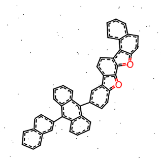 c1ccc2cc(-c3c4ccccc4c(-c4ccc5oc6c(ccc7c6oc6ccc8ccccc8c67)c5c4)c4ccccc34)ccc2c1